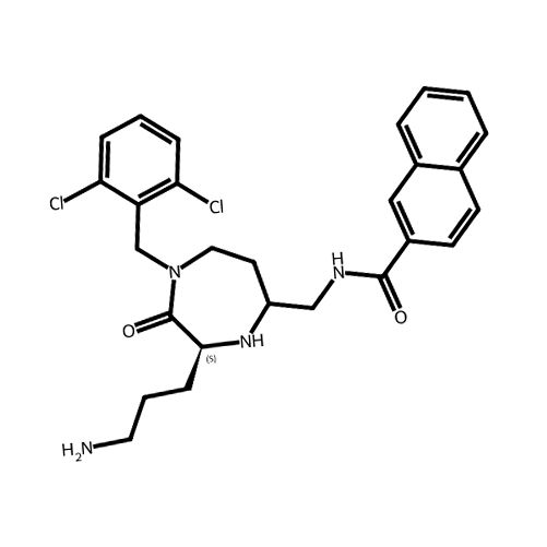 NCCC[C@@H]1NC(CNC(=O)c2ccc3ccccc3c2)CCN(Cc2c(Cl)cccc2Cl)C1=O